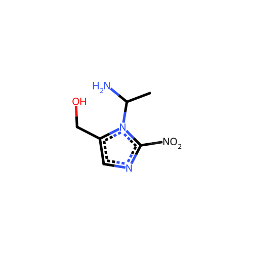 CC(N)n1c(CO)cnc1[N+](=O)[O-]